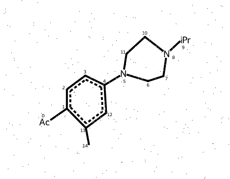 CC(=O)c1ccc(N2CCN(C(C)C)CC2)cc1C